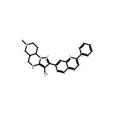 CN1CCC2C(CNc3c(C#N)c(-c4ccc5ccc(-c6ccccc6)nc5c4)nn32)C1